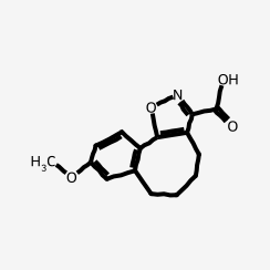 COc1ccc2c(c1)CCCCc1c(C(=O)O)noc1-2